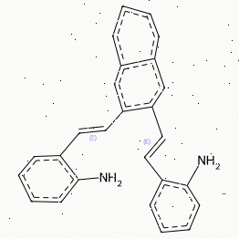 Nc1ccccc1/C=C/c1[c]c2ccccc2cc1/C=C/c1ccccc1N